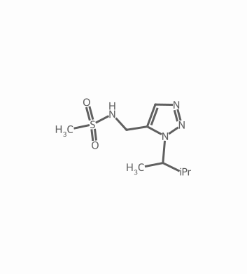 CC(C)C(C)n1nncc1CNS(C)(=O)=O